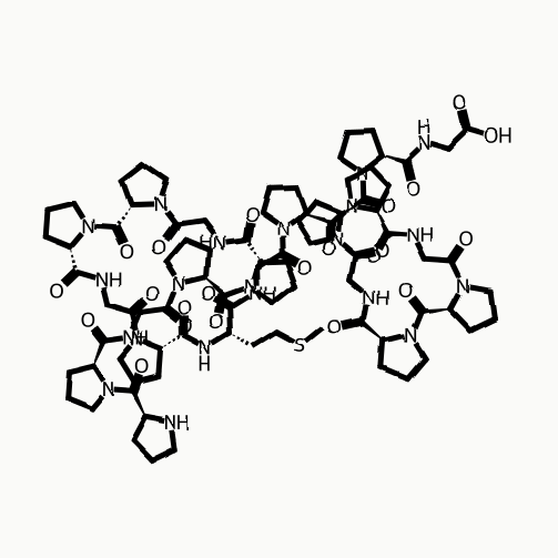 CSCC[C@H](NC(=O)[C@@H]1CCCN1C(=O)CNC(=O)[C@@H]1CCCN1C(=O)[C@@H]1CCCN1C(=O)CNC(=O)[C@@H]1CCCN1C(=O)[C@@H]1CCCN1C(=O)CNC(=O)[C@@H]1CCCN1C(=O)[C@@H]1CCCN1)C(=O)NCC(=O)N1CCC[C@H]1C(=O)N1CCC[C@H]1C(=O)NCC(=O)N1CCC[C@H]1C(=O)N1CCC[C@H]1C(=O)NCC(=O)N1CCC[C@H]1C(=O)N1CCC[C@H]1C(=O)NCC(=O)O